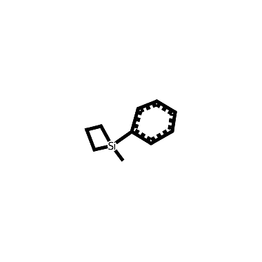 C[Si]1(c2ccccc2)CCC1